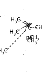 CCCCCCCCCCCCCCCCCCCCCCCCC#CC1=C(c2cccc(CCCCC)c2)[N+](=[N-])C(c2cccc(CCCCC)c2)=C1CCCCCCCC.C[CH2][Pd][CH2]C